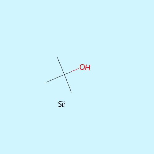 CC(C)(C)O.[Si]